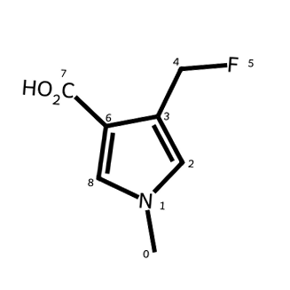 Cn1cc(CF)c(C(=O)O)c1